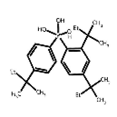 CCC(C)(C)c1ccc(P(O)(O)(O)c2ccc(C(C)(C)CC)cc2C(C)(C)CC)cc1